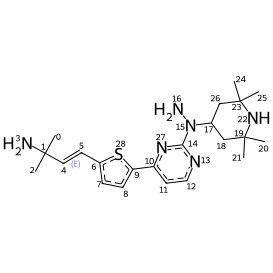 CC(C)(N)/C=C/c1ccc(-c2ccnc(N(N)C3CC(C)(C)NC(C)(C)C3)n2)s1